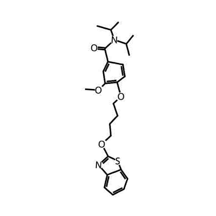 COc1cc(C(=O)N(C(C)C)C(C)C)ccc1OCCCCOc1nc2ccccc2s1